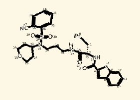 CC(C)C[C@H](NC(=O)c1cc2ccccc2s1)C(=O)NCCCN(C1CCOCC1)S(=O)(=O)c1ccccc1C#N